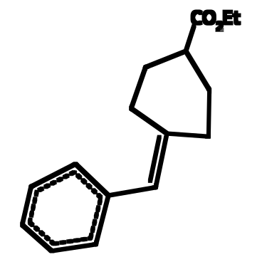 CCOC(=O)C1CCC(=Cc2ccccc2)CC1